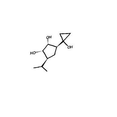 CC(C)[C@@H]1C[C@H](C2(O)CC2)[C@@H](O)[C@H]1O